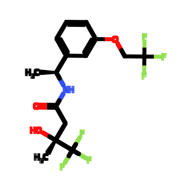 C[C@H](NC(=O)C[C@@](C)(O)C(F)(F)F)c1cccc(OCC(F)(F)F)c1